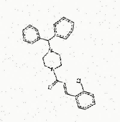 O=C(C=Cc1ccccc1Cl)N1CCN(C(c2ccccc2)c2ccccc2)CC1